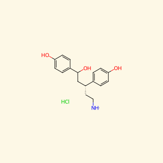 Cl.[NH]CC[C@H](CC(O)c1ccc(O)cc1)c1ccc(O)cc1